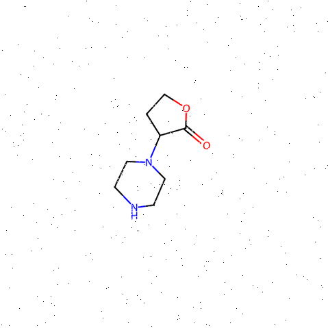 O=C1OCCC1N1CCNCC1